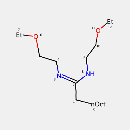 CCCCCCCCCC(=NCCOCC)NCCOCC